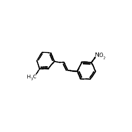 Cc1cccc(C=Cc2cccc([N+](=O)[O-])c2)c1